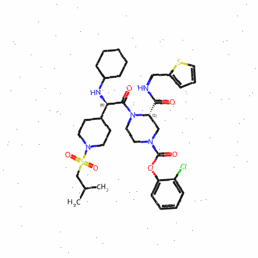 CC(C)CS(=O)(=O)N1CCC([C@@H](NC2CCCCC2)C(=O)N2CCN(C(=O)Oc3ccccc3Cl)C[C@H]2C(=O)NCc2cccs2)CC1